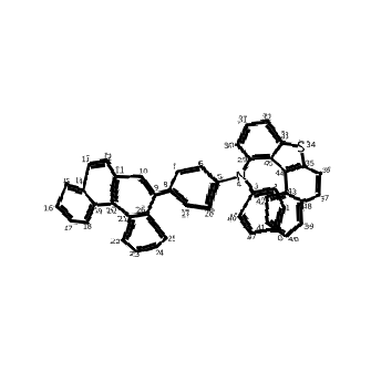 c1ccc(N(c2ccc(-c3cc4ccc5ccccc5c4c4ccccc34)cc2)c2cccc3sc4ccc5ccccc5c4c23)cc1